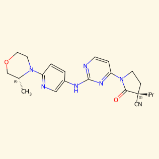 CC(C)[C@]1(C#N)CCN(c2ccnc(Nc3ccc(N4CCOC[C@H]4C)nc3)n2)C1=O